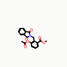 COC(=O)c1cccc(OC(C)=O)c1CN1C(=O)c2ccccc2C1=O